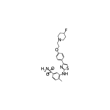 Cc1ccc(S(N)(=O)=O)cc1Nc1nc(-c2ccc(OCCN3CCC(F)CC3)cc2)cs1